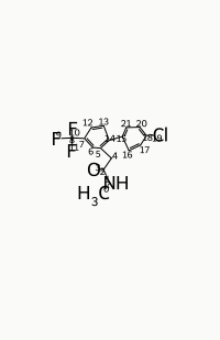 CNC(=O)Cc1cc(C(F)(F)F)ccc1-c1ccc(Cl)cc1